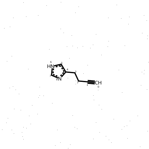 C#CCCc1c[nH]cn1